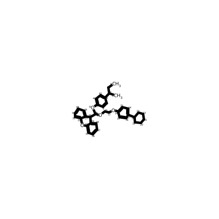 CCC(C)c1ccc(OC(OCCOc2ccc(C3CCCCC3)cc2)C2c3ccccc3Oc3ccccc32)cc1